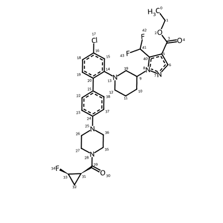 CCOC(=O)c1cnn(C2CCCN(c3cc(Cl)ccc3-c3ccc(N4CCN(C(=O)[C@H]5C[C@H]5F)CC4)cc3)C2)c1C(F)F